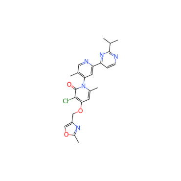 Cc1nc(COc2cc(C)n(-c3cc(-c4ccnc(C(C)C)n4)ncc3C)c(=O)c2Cl)co1